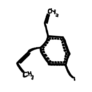 C=Cc1ccc(I)cc1/C=C\C